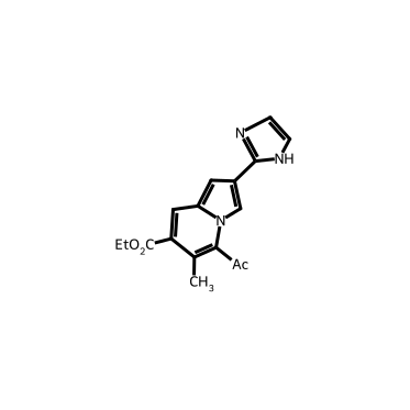 CCOC(=O)c1cc2cc(-c3ncc[nH]3)cn2c(C(C)=O)c1C